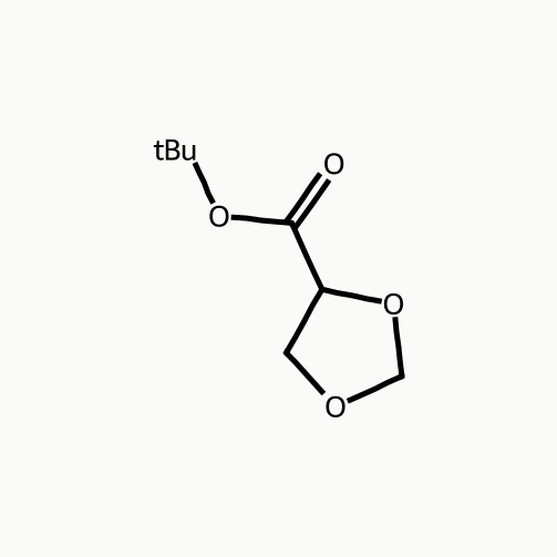 CC(C)(C)OC(=O)C1COCO1